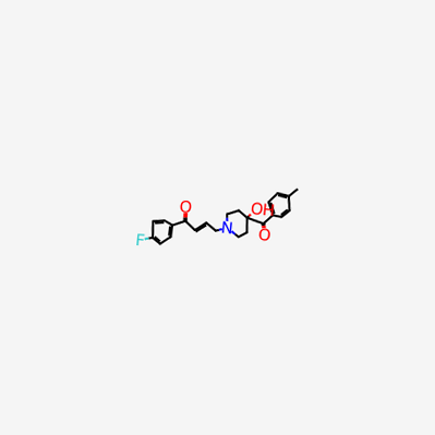 Cc1ccc(C(=O)C2(O)CCN(CC=CC(=O)c3ccc(F)cc3)CC2)cc1